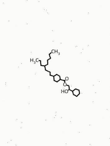 CCCCCC(CCC)CCCC1CCC(C(=O)OCC(O)C2CCCCC2)CC1